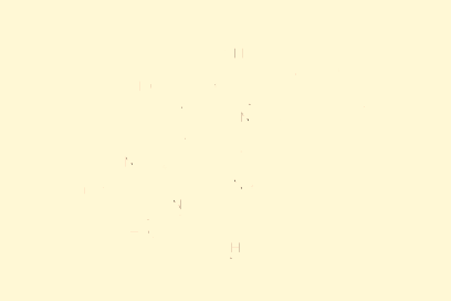 CCCN=c1c2c(C)c(C)n(-c3ccccc3)c2nc(C)n1C